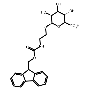 O=C(NCCO[C@@H]1OC(C(=O)O)[C@@H](O)C(O)[C@@H]1O)OCC1c2ccccc2-c2ccccc21